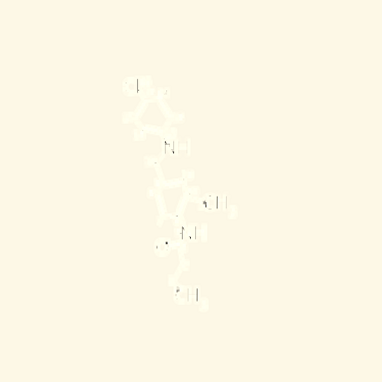 CCCC(=O)Nc1ccc(CNc2ccc(Cl)cc2)cc1C